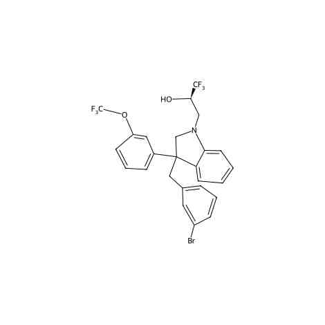 O[C@H](CN1CC(Cc2cccc(Br)c2)(c2cccc(OC(F)(F)F)c2)c2ccccc21)C(F)(F)F